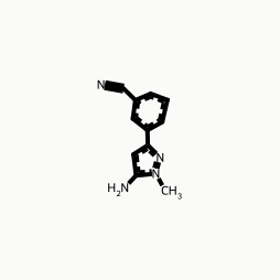 Cn1nc(-c2cccc(C#N)c2)cc1N